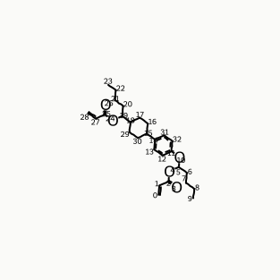 C=CC(=O)OC(CCCC)Oc1ccc(C2CCC(C(CCCC)OC(=O)C=C)CC2)cc1